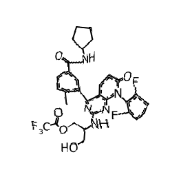 Cc1ccc(C(=O)NC2CCCC2)cc1-c1nc(NC(CO)COC(=O)C(F)(F)F)nc2c1ccc(=O)n2-c1c(F)cccc1F